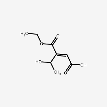 CCOC(=O)C(=CC(=O)O)C(C)O